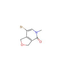 Cn1cc(Br)c2c(c1=O)COC2